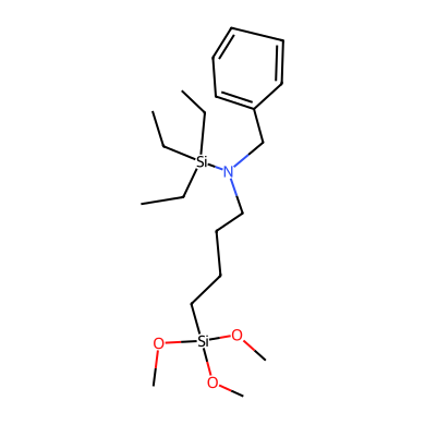 CC[Si](CC)(CC)N(CCCC[Si](OC)(OC)OC)Cc1ccccc1